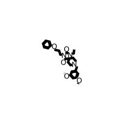 CCN1C(=O)N(CCCOc2ccccc2)C(=O)C12CCN(Cc1cc(OC)cc(OC)c1)CC2